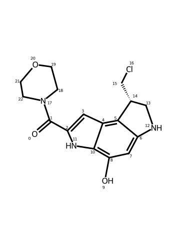 O=C(c1cc2c3c(cc(O)c2[nH]1)NC[C@H]3CCl)N1CCOCC1